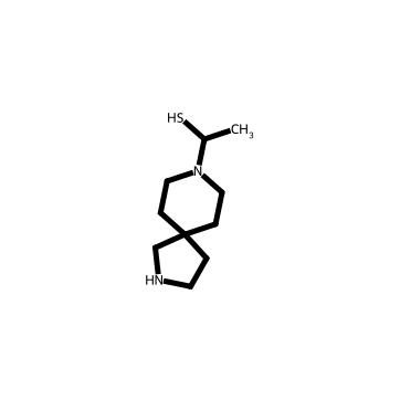 CC(S)N1CCC2(CCNC2)CC1